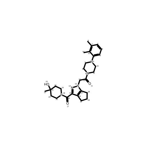 Cc1cccc(N2CCN(C(=O)Cn3nc(C(=O)N4CCC(C)(O)CC4)c4c3CCC4)CC2)c1C